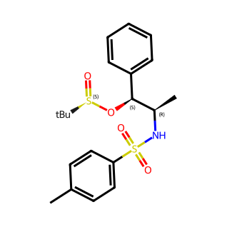 Cc1ccc(S(=O)(=O)N[C@H](C)[C@@H](O[S@](=O)C(C)(C)C)c2ccccc2)cc1